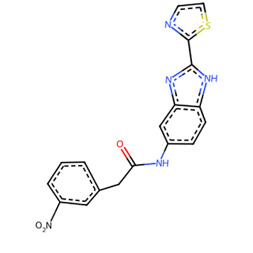 O=C(Cc1cccc([N+](=O)[O-])c1)Nc1ccc2[nH]c(-c3nccs3)nc2c1